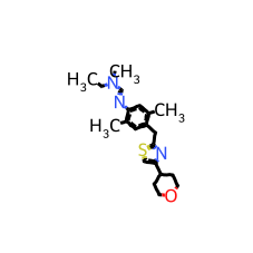 CCN(C)C=Nc1cc(C)c(Cc2nc(C3CCOCC3)cs2)cc1C